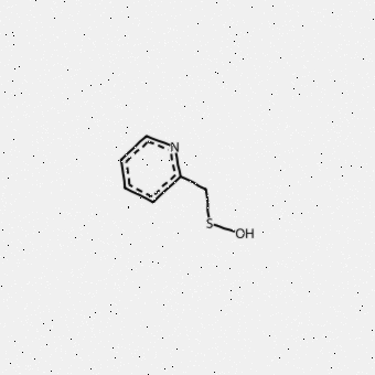 OSCc1ccccn1